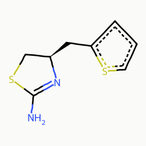 NC1=N[C@H](Cc2cccs2)CS1